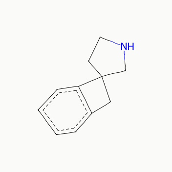 c1ccc2c(c1)CC21CCNC1